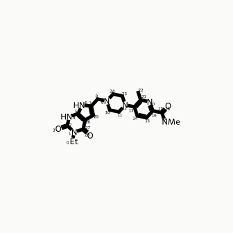 CCn1c(=O)[nH]c2[nH]c(CN3CCN(c4ccc(C(=O)NC)nc4C)CC3)cc2c1=O